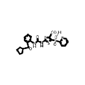 O=C(Nc1nc(C(=O)O)c(S(=O)(=O)c2ccccn2)s1)Nc1ccccc1C(=O)C1CCCC1